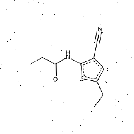 CCC(=O)Nc1sc(CC)cc1C#N